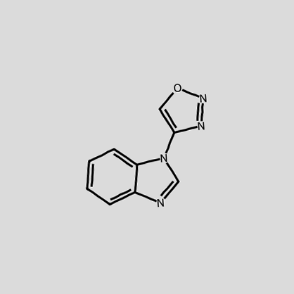 c1ccc2c(c1)ncn2-c1conn1